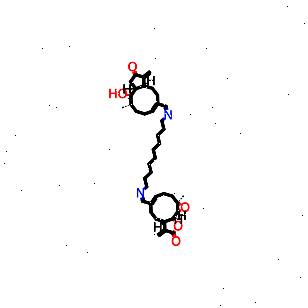 C=C1C(=O)C[C@@H]2[C@H](O)[C@@H](C)CC/C=C(/C=N\CCCCCCCCCC/N=C\C3=C\CC[C@@]4(C)O[C@H]4[C@H]4OC(=O)C(=C)[C@@H]4CC3)CC[C@@H]12